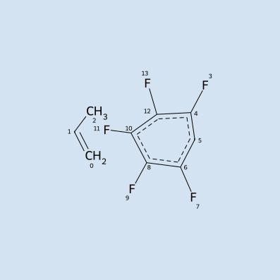 C=CC.Fc1cc(F)c(F)c(F)c1F